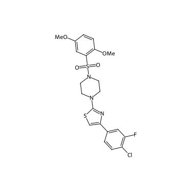 COc1ccc(OC)c(S(=O)(=O)N2CCN(c3nc(-c4ccc(Cl)c(F)c4)cs3)CC2)c1